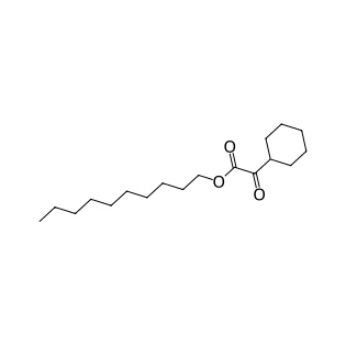 CCCCCCCCCCOC(=O)C(=O)C1CCCCC1